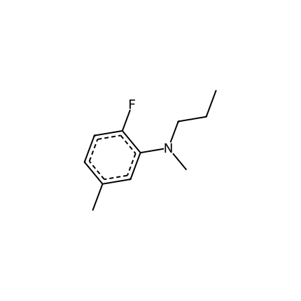 CCCN(C)c1cc(C)ccc1F